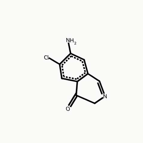 Nc1cc2c(cc1Cl)C(=O)CN=C2